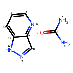 NC(N)=O.c1cnc2cn[nH]c2c1